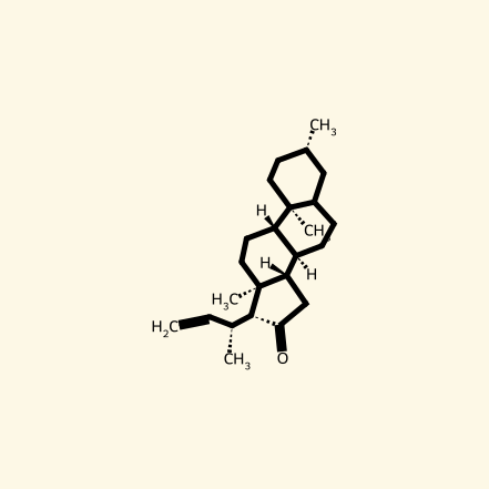 C=C[C@@H](C)[C@H]1C(=O)C[C@H]2[C@@H]3CCC4C[C@@H](C)CC[C@]4(C)[C@H]3CC[C@]12C